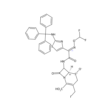 O=C(O)C1=C(CI)C[S+]([O-])[C@@H]2C(NC(=O)/C(=N/OC(F)F)c3csc(NC(c4ccccc4)(c4ccccc4)c4ccccc4)n3)C(=O)N12